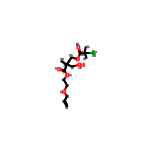 C=CCOCCOC(=O)C(C)(CO)COC(=O)C(C)(C)Br